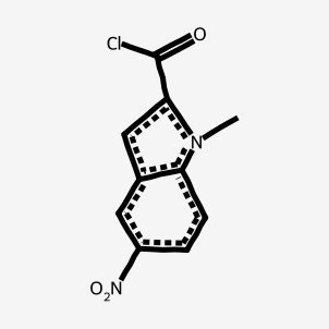 Cn1c(C(=O)Cl)cc2cc([N+](=O)[O-])ccc21